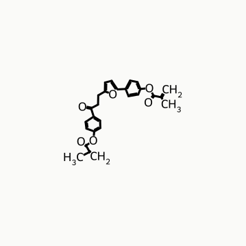 C=C(C)C(=O)Oc1ccc(C(=O)CCc2ccc(-c3ccc(OC(=O)C(=C)C)cc3)o2)cc1